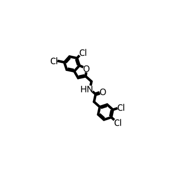 O=C(Cc1ccc(Cl)c(Cl)c1)NCc1cc2cc(Cl)cc(Cl)c2o1